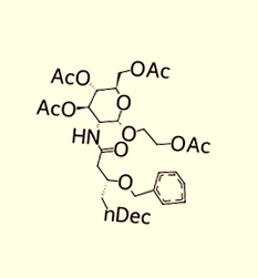 CCCCCCCCCCC[C@H](CC(=O)N[C@H]1[C@@H](OCCOC(C)=O)O[C@H](COC(C)=O)[C@@H](OC(C)=O)[C@@H]1OC(C)=O)OCc1ccccc1